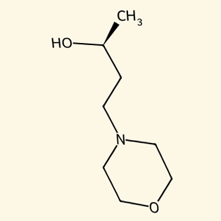 C[C@H](O)CCN1CCOCC1